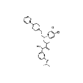 CC(C)Oc1cccc(C(O)C(=O)N(C)CC(CCN2CCC(c3ccccc3)CC2)c2ccc(Cl)c(Cl)c2)c1